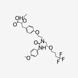 CCOC(Cc1ccc(OCCN(CCOCCCC(F)(F)F)C(=O)Nc2ccc(OC)cc2)cc1)C(=O)O